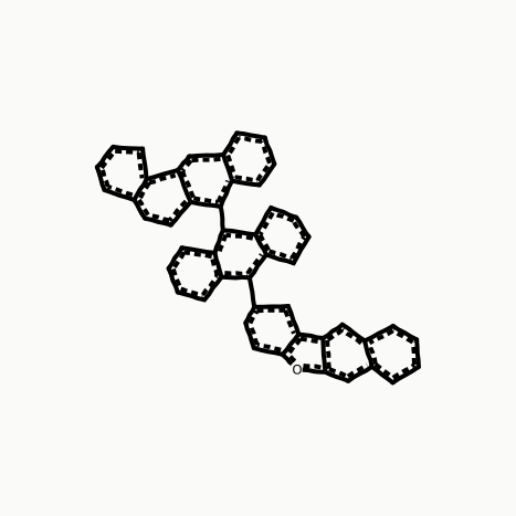 c1ccc2cc3c(cc2c1)oc1ccc(-c2c4ccccc4c(-c4c5ccccc5cc5c4ccc4ccccc45)c4ccccc24)cc13